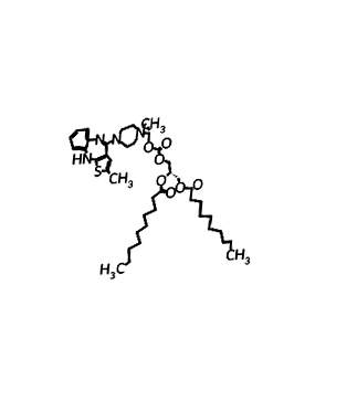 CCCCCCCCCC(=O)OC[C@@H](COC(=O)OC[N+]1(C)CCN(C2=Nc3ccccc3Nc3sc(C)cc32)CC1)OC(=O)CCCCCCCCC